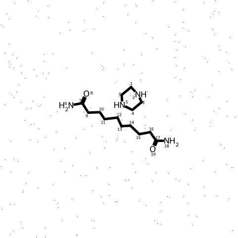 C1CNCCN1.NC(=O)CCCCCCCCC(N)=O